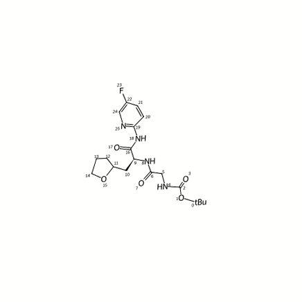 CC(C)(C)OC(=O)NCC(=O)N[C@@H](CC1CCCO1)C(=O)Nc1ccc(F)cn1